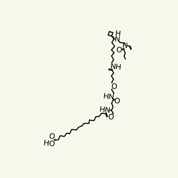 C=CN(CCNC(CCCCCCCNC(=C)CCCCOCCNC(=O)CCC(C=O)NC(=C)CCCCCCCCCCCCCCCCC(=O)O)=C1CCC1)C(=O)CCC